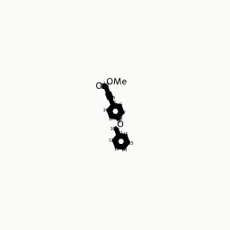 COC(=O)C#Cc1ccc(OCc2ccccc2)cc1